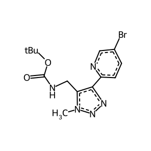 Cn1nnc(-c2ccc(Br)cn2)c1CNC(=O)OC(C)(C)C